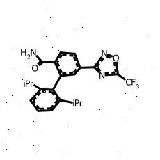 CC(C)c1cccc(C(C)C)c1-c1cc(-c2noc(C(F)(F)F)n2)ccc1C(N)=O